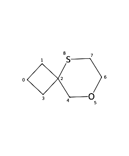 C1CC2(C1)COCCS2